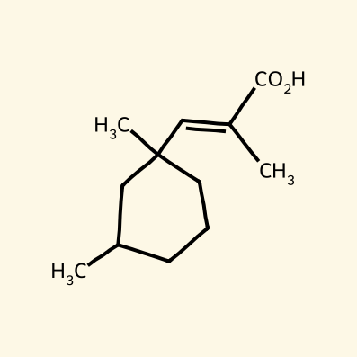 CC(=CC1(C)CCCC(C)C1)C(=O)O